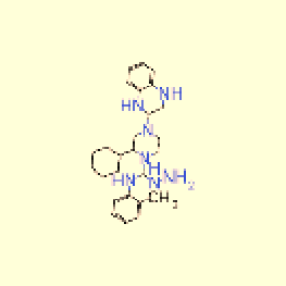 Cc1ccccc1NC(NN)N1CCN(C2CNc3ccccc3N2)CC1C1CCCCC1